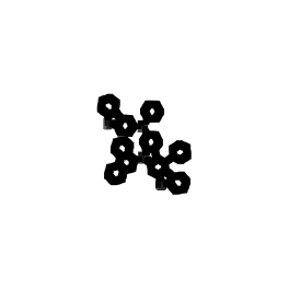 c1ccc(-c2c3c(cc4c2c2ccc(N(c5ccccc5)c5ccc6sc7ccccc7c6c5)cc2n4-c2cc4ccccc4c4ccccc24)oc2ccccc23)cc1